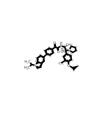 CC(C)n1ccc2cc(-c3ccc(C(=O)C(=O)N[C@H](C)[C@](O)(c4ccc(OC5CC5)c(Cl)c4)N4CCCC4)cc3)ccc21